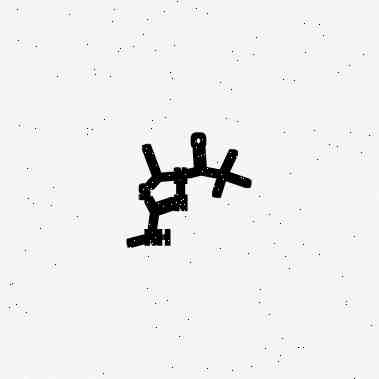 CNC1=NN(C(=O)C(C)(C)C)C(C)S1